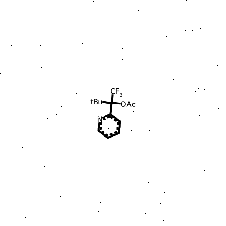 CC(=O)OC(c1ccccn1)(C(C)(C)C)C(F)(F)F